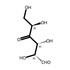 O=C[C@H](O)[C@@H](O)C(=O)[C@H](O)CO